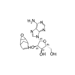 C1=CC2CC1C1OC21.Nc1ncnc2c1ncn2[C@@H]1O[C@H](CO)[C@@H](O)[C@H]1O